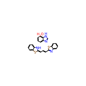 C(=Cc1nc2ccccc2s1)C=C1Nc2ccccc2S1.O.c1ccc2[nH]cnc2c1